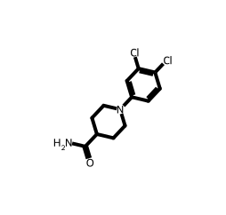 NC(=O)C1CCN(c2ccc(Cl)c(Cl)c2)CC1